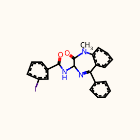 CN1C(=O)C(NC(=O)c2cccc(I)c2)N=C(c2ccccc2)c2ccccc21